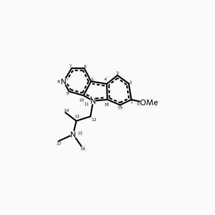 COc1ccc2c3ccncc3n(CC(C)N(C)C)c2c1